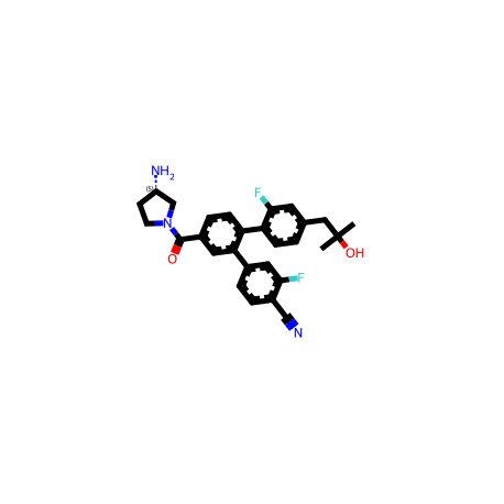 CC(C)(O)Cc1ccc(-c2ccc(C(=O)N3CC[C@H](N)C3)cc2-c2ccc(C#N)c(F)c2)c(F)c1